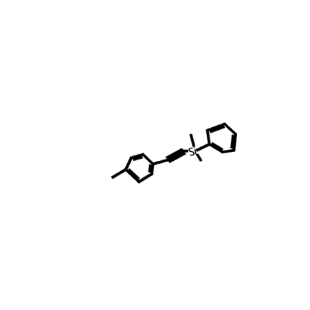 Cc1ccc(C#C[Si](C)(C)c2ccccc2)cc1